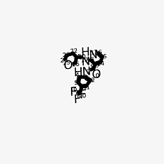 O=C(Nc1ccc(C(F)(F)F)cc1)c1cccnc1NCC1CCCOC1